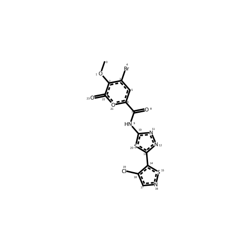 COc1c(Br)cc(C(=O)Nc2nnc(-c3sncc3Cl)s2)oc1=O